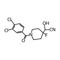 N#CC(O)C1(F)CCN(C(=O)c2ccc(Cl)c(Cl)c2)CC1